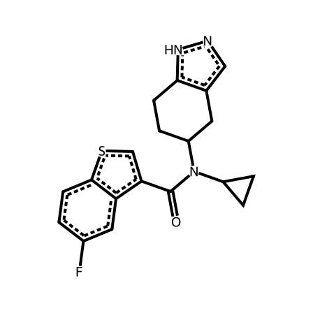 O=C(c1csc2ccc(F)cc12)N(C1CC1)C1CCc2[nH]ncc2C1